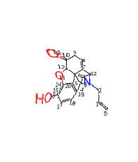 C=CCN1CCC23C4=CCC(=O)C2Oc2c(O)ccc(c23)CC41